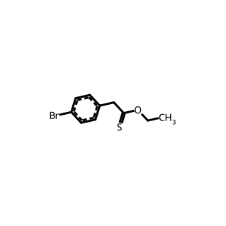 CCOC(=S)Cc1ccc(Br)cc1